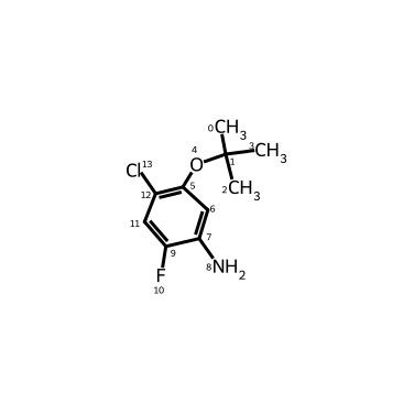 CC(C)(C)Oc1cc(N)c(F)cc1Cl